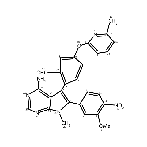 COc1cc(-c2c(-c3ccc(Oc4cccc(C)n4)cc3C=O)c3c(N)ncnc3n2C)ccc1[N+](=O)[O-]